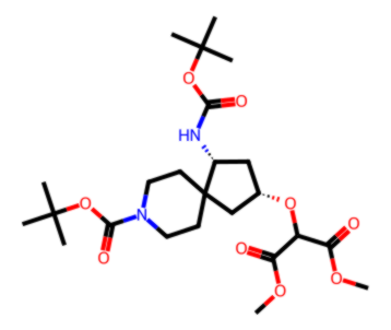 COC(=O)C(O[C@H]1C[C@@H](NC(=O)OC(C)(C)C)C2(CCN(C(=O)OC(C)(C)C)CC2)C1)C(=O)OC